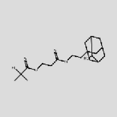 CCC(C)(C)C(=O)OCCC(=O)OCCC12CC3CC(C1)C(O)C(C3)C2